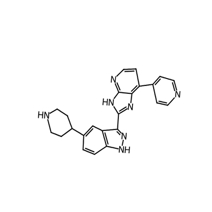 c1cc(-c2ccnc3[nH]c(-c4n[nH]c5ccc(C6CCNCC6)cc45)nc23)ccn1